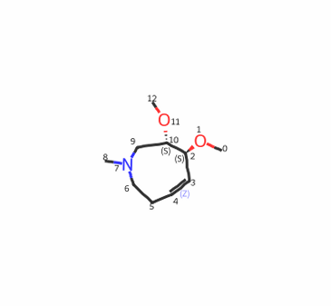 CO[C@H]1/C=C\CCN(C)C[C@@H]1OC